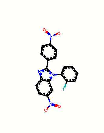 O=[N+]([O-])c1ccc(-c2nc3ccc([N+](=O)[O-])cc3n2-c2ccccc2F)cc1